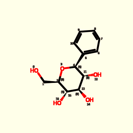 OC[C@H]1O[C@@H](c2ccccc2)[C@H](O)[C@@H](O)[C@@H]1O